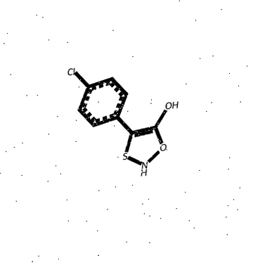 OC1=C(c2ccc(Cl)cc2)SNO1